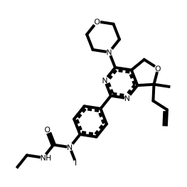 C=CCC1(C)OCc2c(N3CCOCC3)nc(-c3ccc(N(I)C(=O)NCC)cc3)nc21